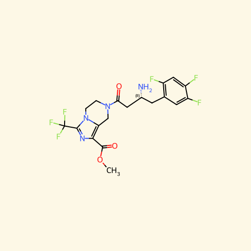 COC(=O)c1nc(C(F)(F)F)n2c1CN(C(=O)C[C@H](N)Cc1cc(F)c(F)cc1F)CC2